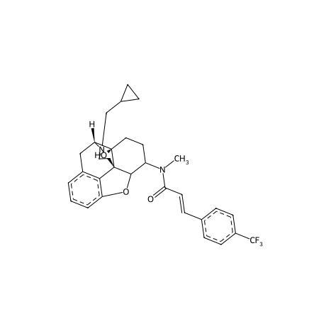 CN(C(=O)/C=C/c1ccc(C(F)(F)F)cc1)C1CC[C@@]2(O)[C@H]3Cc4cccc5c4[C@@]2(CCN3CC2CC2)C1O5